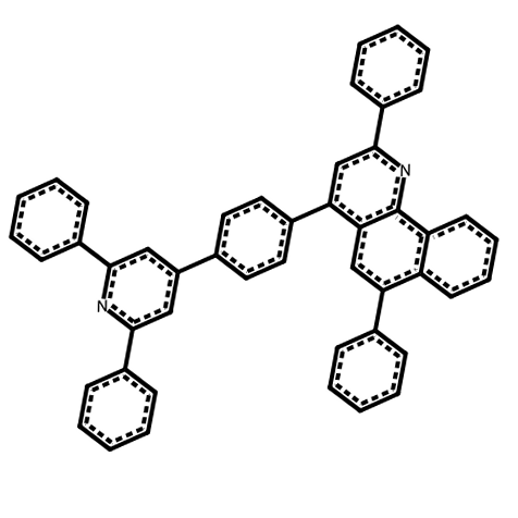 c1ccc(-c2cc(-c3ccc(-c4cc(-c5ccccc5)nc5c4cc(-c4ccccc4)c4ccccc45)cc3)cc(-c3ccccc3)n2)cc1